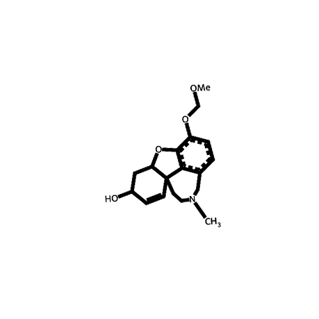 COCOc1ccc2c3c1OC1CC(O)C=CC31CCN(C)C2